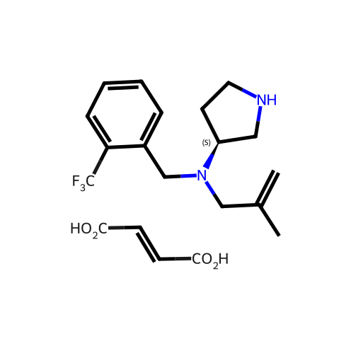 C=C(C)CN(Cc1ccccc1C(F)(F)F)[C@H]1CCNC1.O=C(O)C=CC(=O)O